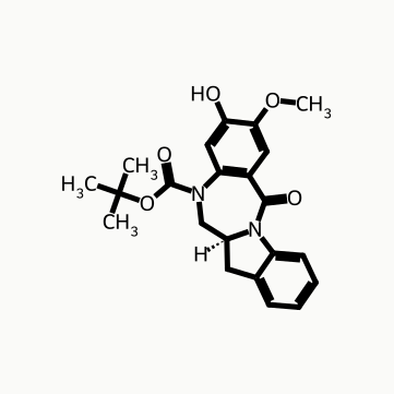 COc1cc2c(cc1O)N(C(=O)OC(C)(C)C)C[C@@H]1Cc3ccccc3N1C2=O